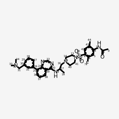 CC(=O)Nc1cc(F)c(S(=O)(=O)N2CCN(CC(C)Nc3ncnc4c(-c5cccc(CN(C)C)c5)cccc34)CC2)cc1C